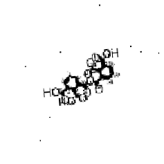 O=C(O)c1cccc(C(=O)OC(=O)c2cccc(C(=O)O)c2C(=O)O)c1C(=O)O